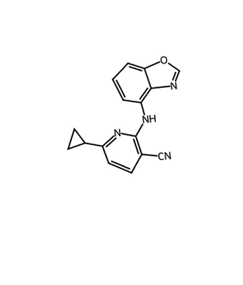 N#Cc1ccc(C2CC2)nc1Nc1cccc2ocnc12